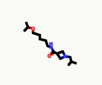 CC(C)CN1CC(C(=O)NCCCCCOC(C)C)C1